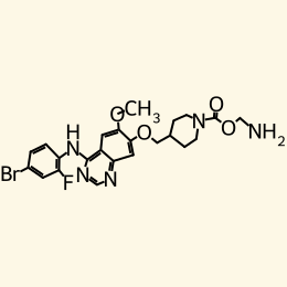 COc1cc2c(Nc3ccc(Br)cc3F)ncnc2cc1OCC1CCN(C(=O)OCN)CC1